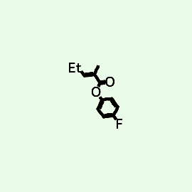 CCC=C(C)C(=O)Oc1ccc(F)cc1